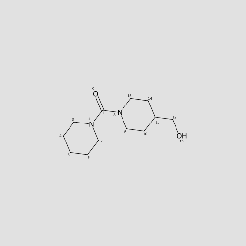 O=C(N1CCCCC1)N1CCC(CO)CC1